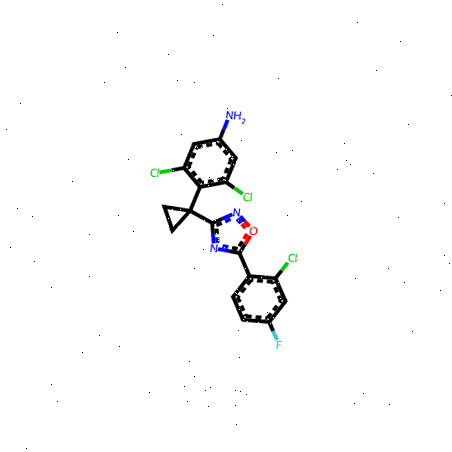 Nc1cc(Cl)c(C2(c3noc(-c4ccc(F)cc4Cl)n3)CC2)c(Cl)c1